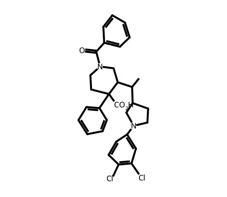 CC(C1CCN(c2ccc(Cl)c(Cl)c2)C1)C1CN(C(=O)c2ccccc2)CCC1(C(=O)O)c1ccccc1